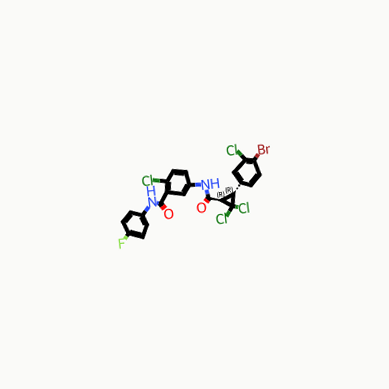 O=C(Nc1ccc(F)cc1)c1cc(NC(=O)[C@H]2[C@H](c3ccc(Br)c(Cl)c3)C2(Cl)Cl)ccc1Cl